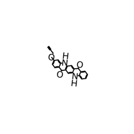 C#CCOc1ccc2c(=O)c3cc4[nH]c5ccccc5c(=O)c4cc3[nH]c2c1